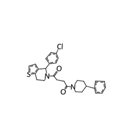 O=C(CCC(=O)N1CCc2sccc2C1c1ccc(Cl)cc1)N1CCC(c2ccccc2)CC1